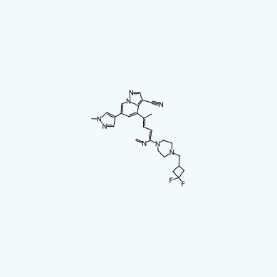 C=N/C(=C\C=C(/C)c1cc(-c2cnn(C)c2)cn2ncc(C#N)c12)N1CCN(CC2CC(F)(F)C2)CC1